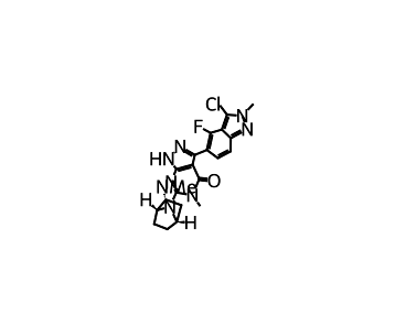 CN[C@@H]1C[C@@H]2CC[C@H]1N2c1nc2[nH]nc(-c3ccc4nn(C)c(Cl)c4c3F)c2c(=O)n1C